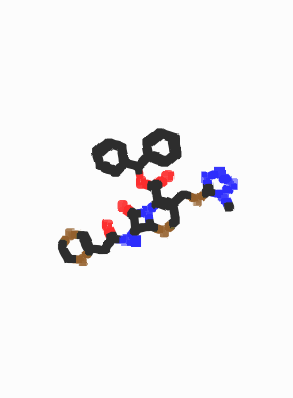 Cn1nnnc1SCC1=C(C(=O)OC(c2ccccc2)c2ccccc2)N2C(=O)C(NC(=O)CC3=CSCCS3)C2SC1